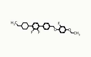 CCOc1ccc(OCc2ccc(-c3ccc(C4CCC(CC)CC4)c(F)c3F)cc2)c(F)c1